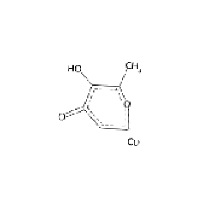 Cc1occc(=O)c1O.[Cu]